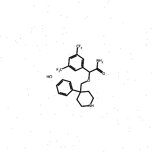 Cl.NC(=O)C(OCC1(c2ccccc2)CCNCC1)c1cc(C(F)(F)F)cc(C(F)(F)F)c1